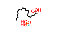 CCCCC/C=C\C/C=C\C/C=C\C/C=C\CCC(C)C(=O)O.O=P(O)(O)F